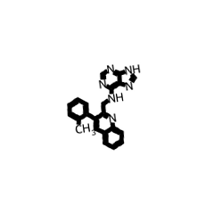 Cc1ccccc1-c1cc2ccccc2nc1CNc1ncnc2[nH]cnc12